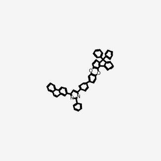 c1ccc(-c2nc(-c3ccc(-c4ccc5c(c4)Oc4ccc6c(c4O5)-c4ccccc4C6(c4ccccc4)c4ccccc4)cc3)cc(-c3ccc4c(ccc5ccccc54)c3)n2)cc1